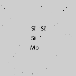 [Mo].[Si].[Si].[Si]